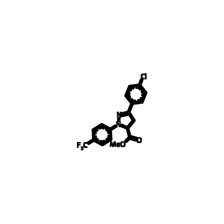 COC(=O)C1CC(c2ccc(Cl)cc2)=NN1c1ccc(C(F)(F)F)cc1